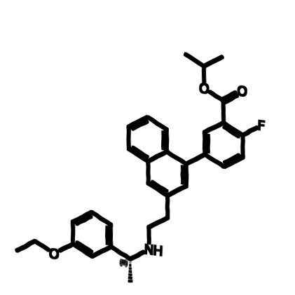 CCOc1cccc([C@@H](C)NCCc2cc(-c3ccc(F)c(C(=O)OC(C)C)c3)c3ccccc3c2)c1